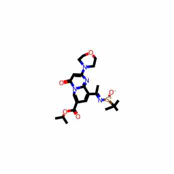 C/C(=N\[S+]([O-])C(C)(C)C)c1cc(C(=O)OC(C)C)cn2c(=O)cc(N3CCOCC3)nc12